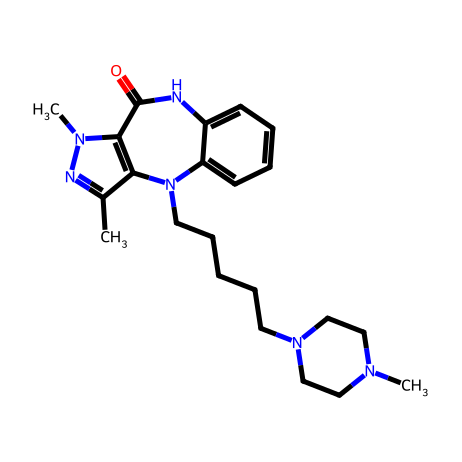 Cc1nn(C)c2c1N(CCCCCN1CCN(C)CC1)c1ccccc1NC2=O